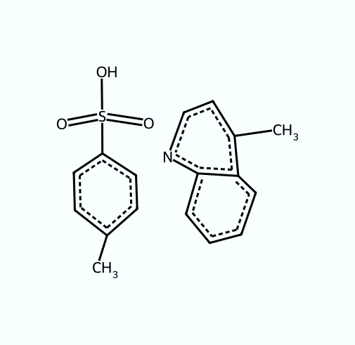 Cc1ccc(S(=O)(=O)O)cc1.Cc1ccnc2ccccc12